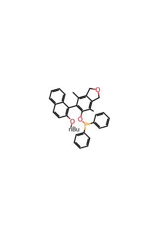 CCCCOc1ccc2ccccc2c1-c1c(C)c2c(c(C)c1OP(c1ccccc1)c1ccccc1)COC2